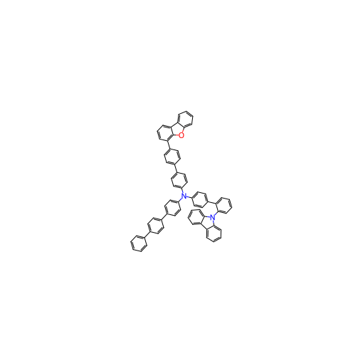 c1ccc(-c2ccc(-c3ccc(N(c4ccc(-c5ccc(-c6cccc7c6oc6ccccc67)cc5)cc4)c4ccc(-c5ccccc5-n5c6ccccc6c6ccccc65)cc4)cc3)cc2)cc1